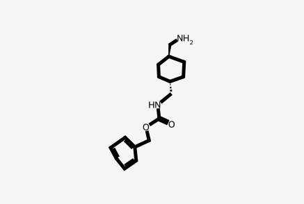 NC[C@H]1CC[C@H](CNC(=O)OCc2ccccc2)CC1